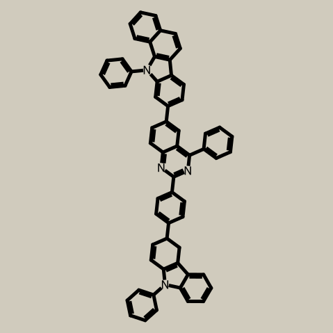 C1=CC(c2ccc(-c3nc(-c4ccccc4)c4cc(-c5ccc6c7ccc8ccccc8c7n(-c7ccccc7)c6c5)ccc4n3)cc2)Cc2c1n(-c1ccccc1)c1ccccc21